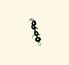 CCCCc1ccc2c(F)c(-c3cc(F)c(-c4ccc(Cl)cc4)c(F)c3)ccc2c1